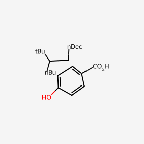 CCCCCCCCCCCC(CCCC)C(C)(C)C.O=C(O)c1ccc(O)cc1